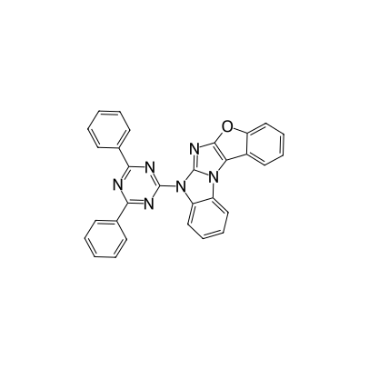 c1ccc(-c2nc(-c3ccccc3)nc(-n3c4ccccc4n4c5c(nc34)oc3ccccc35)n2)cc1